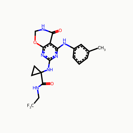 Cc1cccc(Nc2nc(NC3(C(=O)NCC(F)(F)F)CC3)nc3c2C(=O)NCO3)c1